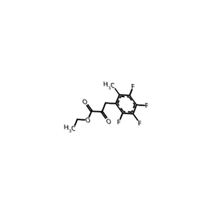 CCOC(=O)C(=O)Cc1c(C)c(F)c(F)c(F)c1F